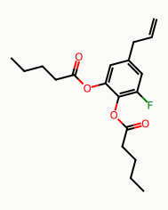 C=CCc1cc(F)c(OC(=O)CCCC)c(OC(=O)CCCC)c1